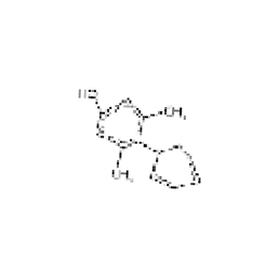 Cc1cc(O)cc(C)c1C1C=CC=CC1